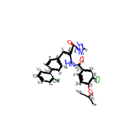 CNC(=O)C(Cc1ccc(-c2ccccc2F)cc1)NC(=O)c1ccc(OC(C)C)c(Cl)c1